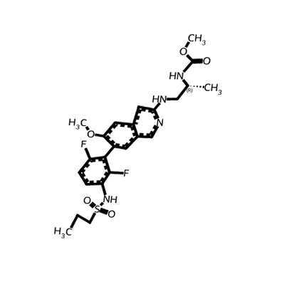 CCCS(=O)(=O)Nc1ccc(F)c(-c2cc3cnc(NC[C@@H](C)NC(=O)OC)cc3cc2OC)c1F